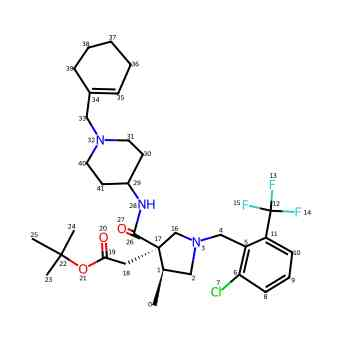 C[C@@H]1CN(Cc2c(Cl)cccc2C(F)(F)F)C[C@]1(CC(=O)OC(C)(C)C)C(=O)NC1CCN(CC2=CCCCC2)CC1